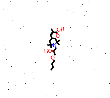 CCCCOCC(O)CN1C(C)(C)CC(C=C(C)C(=O)O)CC1(C)C